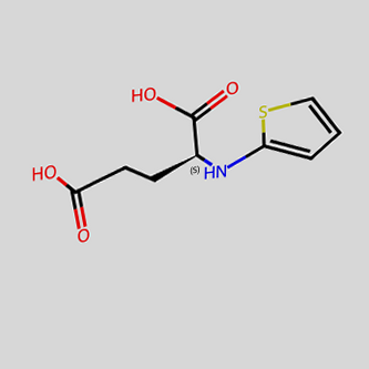 O=C(O)CC[C@H](Nc1cccs1)C(=O)O